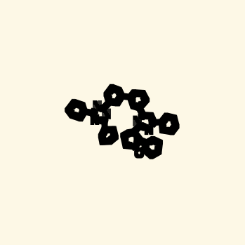 c1ccc(-c2cc(-c3cccc(-c4cccc(-c5nc(-c6ccccc6)nc(-c6ccccc6)n5)c4)c3)nc(-c3cccc4oc5ccccc5c34)n2)cc1